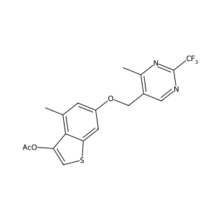 CC(=O)Oc1csc2cc(OCc3cnc(C(F)(F)F)nc3C)cc(C)c12